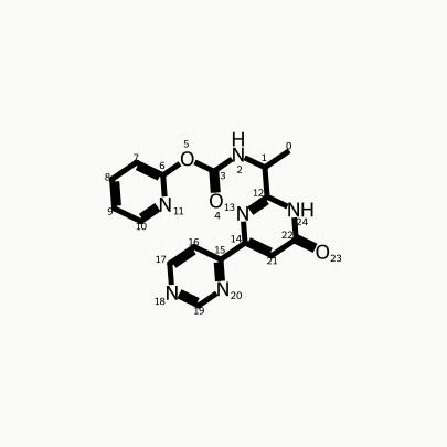 CC(NC(=O)Oc1ccccn1)c1nc(-c2ccncn2)cc(=O)[nH]1